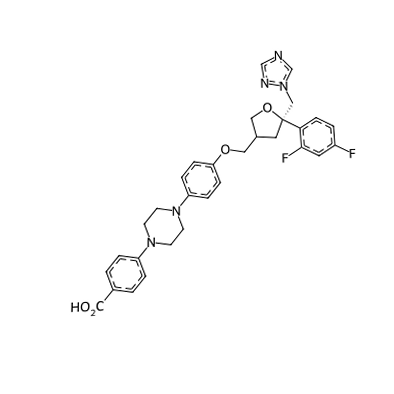 O=C(O)c1ccc(N2CCN(c3ccc(OCC4CO[C@@](Cn5cncn5)(c5ccc(F)cc5F)C4)cc3)CC2)cc1